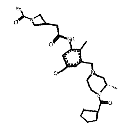 CCC(=O)N1CC(CC(=O)Nc2cc(Cl)cc(CN3CCN(C(=O)C4CCCC4)[C@@H](C)C3)c2C)C1